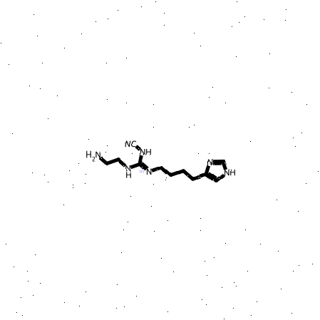 N#CN/C(=N\CCCCc1c[nH]cn1)NCCN